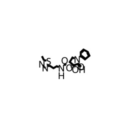 Cc1nnc(CCNC(=O)O[C@@]2(O)CCN(c3ccccc3)C2=O)s1